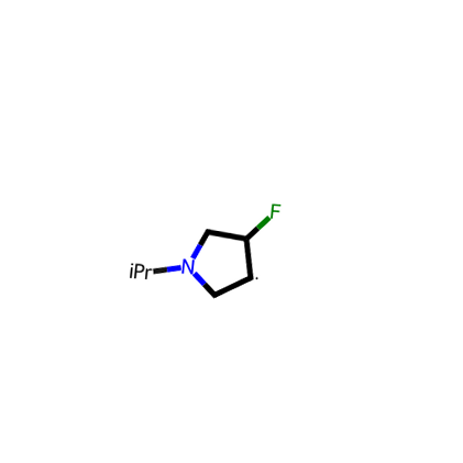 CC(C)N1C[CH]C(F)C1